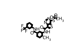 Cc1ccc(C(=O)Nc2cccc(C(F)(F)F)c2)cc1NC(=O)c1csc2c(SS(C)(=O)=O)ncnc12